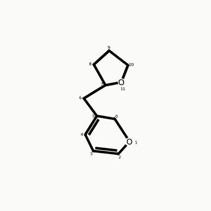 [CH]1OC=CC=C1CC1CCCO1